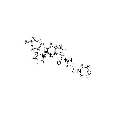 O=C(NCCCN1CCOCC1)c1cnc2ccc(N3CCC[C@@H]3c3cccc(F)c3)nn12